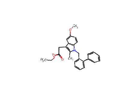 CCOC(=O)Cc1c(C)n(Cc2ccccc2-c2ccccc2)c2ccc(OC)cc12